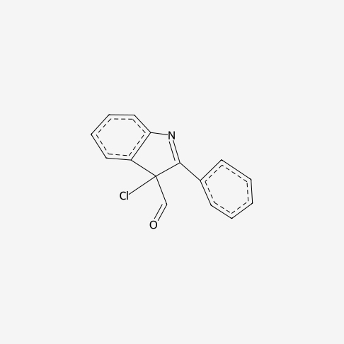 O=CC1(Cl)C(c2ccccc2)=Nc2ccccc21